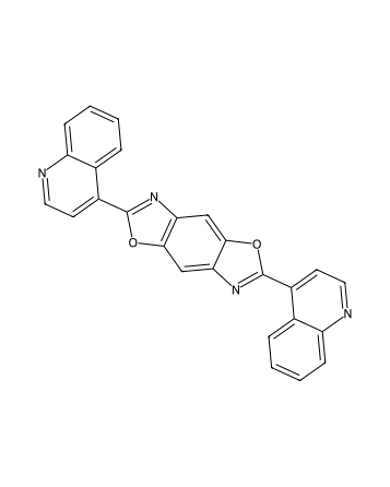 c1ccc2c(-c3nc4cc5oc(-c6ccnc7ccccc67)nc5cc4o3)ccnc2c1